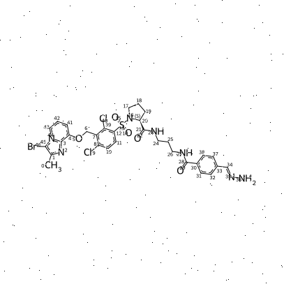 Cc1nc2c(OCc3c(Cl)ccc(S(=O)(=O)N4CCC[C@H]4C(=O)NCCCNC(=O)c4ccc(C=NN)cc4)c3Cl)cccn2c1Br